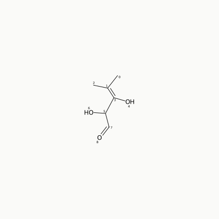 CC(C)=C(O)C(O)C=O